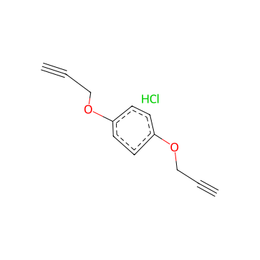 C#CCOc1ccc(OCC#C)cc1.Cl